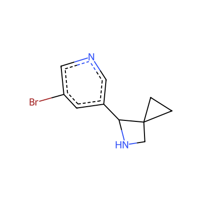 Brc1cncc(C2NCC23CC3)c1